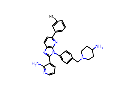 N#Cc1cccc(-c2ccc3nc(-c4cccnc4N)n(-c4ccc(CN5CCC(N)CC5)cc4)c3n2)c1